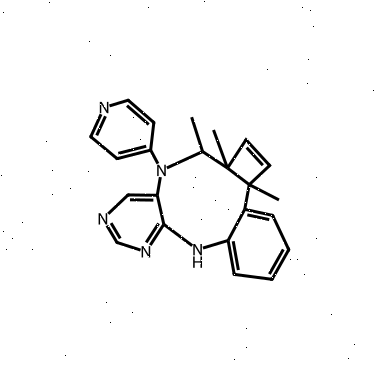 CC1N(c2ccncc2)c2cncnc2Nc2ccccc2C2(C)C=CC12C